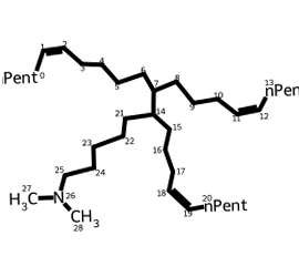 CCCCC/C=C\CCCCC(CCC/C=C\CCCCC)C(CCC/C=C\CCCCC)CCCCCN(C)C